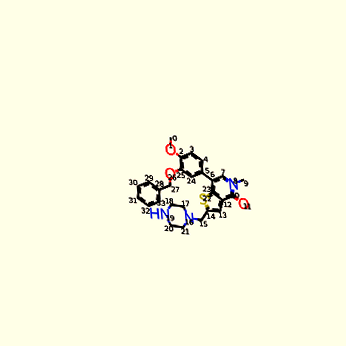 COc1ccc(-c2cn(C)c(=O)c3cc(CN4CCNCC4)sc23)cc1OCc1ccccc1